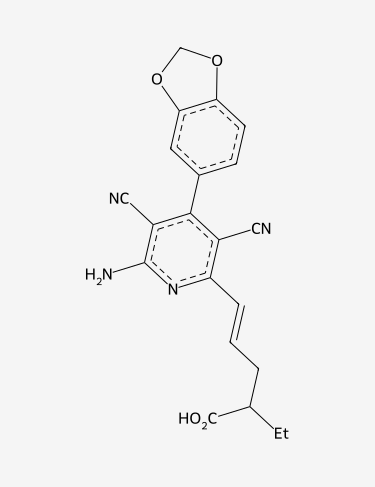 CCC(CC=Cc1nc(N)c(C#N)c(-c2ccc3c(c2)OCO3)c1C#N)C(=O)O